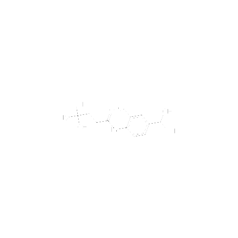 CC(C)c1ccc(NC(=O)CCC(C)(C)S)c(Cl)c1